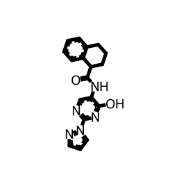 O=C(Nc1cnc(-n2cccn2)nc1O)C1CCCc2ccccc21